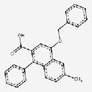 Cc1ccc2c(-c3ccccc3)c(C(=O)O)cc(OCc3ccccc3)c2c1